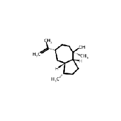 C=C(C)[C@@H]1CC[C@@](C)(O)[C@@H]2CC[C@H](C)[C@@H]2C1